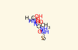 Cc1c(NC(=O)NCCc2cccs2)ccc2nc(N[C@@H](C)C(=O)O)oc(=O)c12